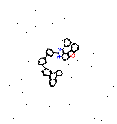 c1ccc(-c2nc(-c3cccc(-c4cccc(-c5ccc6c7ccccc7c7ccccc7c6c5)c4)c3)nc3ccc4oc5ccccc5c4c23)cc1